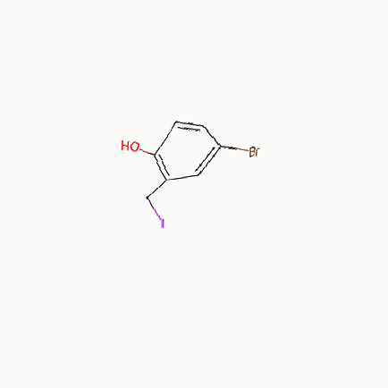 Oc1ccc(Br)cc1CI